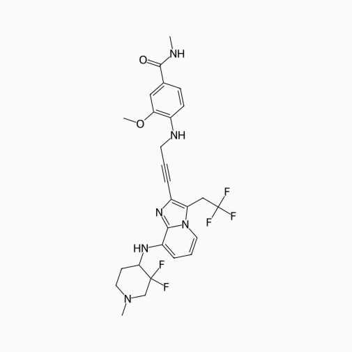 CNC(=O)c1ccc(NCC#Cc2nc3c(NC4CCN(C)CC4(F)F)cccn3c2CC(F)(F)F)c(OC)c1